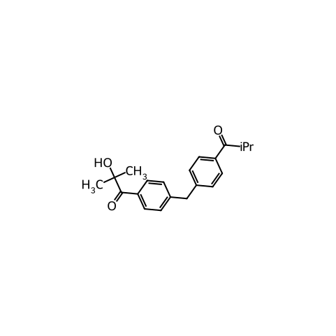 CC(C)C(=O)c1ccc(Cc2ccc(C(=O)C(C)(C)O)cc2)cc1